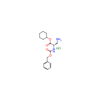 Cl.NC[C@@H](NC(=O)OCc1ccccc1)C(=O)OC1CCCCC1